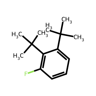 CC(C)(C)c1cccc(F)c1C(C)(C)C